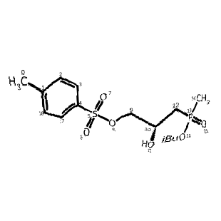 Cc1ccc(S(=O)(=O)OC[C@H](O)CP(C)(=O)OCC(C)C)cc1